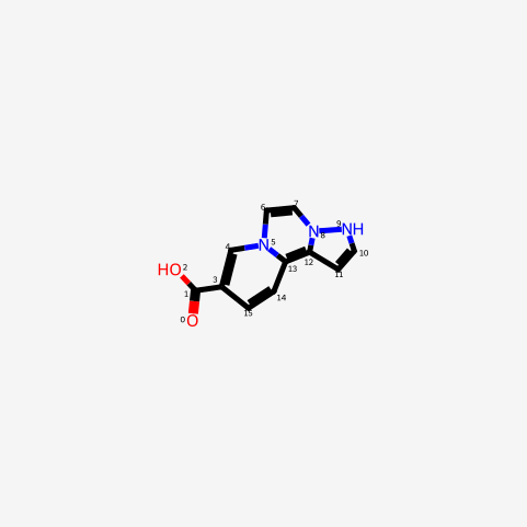 O=C(O)C1=CN2C=CN3NC=CC3=C2C=C1